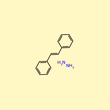 C(=C\c1ccccc1)/c1ccccc1.N.N